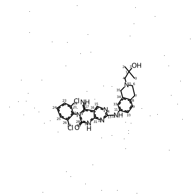 CC(C)(O)CN1CCc2ccc(Nc3ncc4c(=N)n(-c5c(Cl)cccc5Cl)c(=O)[nH]c4n3)cc2C1